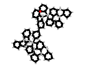 c1ccc([Si](c2ccccc2)(c2ccc3c4c2Oc2ccccc2B4c2ccccc2O3)n2c3ccccc3c3cc(-c4ccc([Si](c5ccccc5)(c5ccc6c7c5Oc5ccccc5B7c5ccccc5O6)n5c6ccccc6n6c7ccccc7nc56)cc4)ccc32)cc1